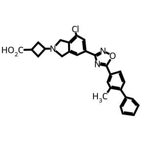 Cc1cc(-c2nc(-c3cc(Cl)c4c(c3)CN(C3CC(C(=O)O)C3)C4)no2)ccc1-c1ccccc1